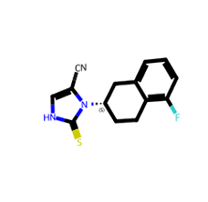 N#Cc1c[nH]c(=S)n1[C@H]1CCc2c(F)cccc2C1